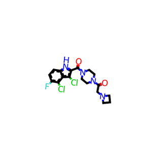 O=C(CN1CCC1)N1CCN(C(=O)c2[nH]c3ccc(F)c(Cl)c3c2Cl)CC1